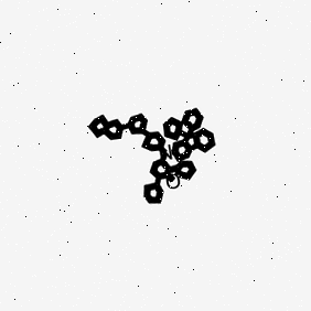 c1ccc(-c2ccc(N(c3ccc(-c4cccc(-c5ccc6ccccc6c5)c4)cc3)c3ccc4c(c3)C(c3ccccc3)(c3ccccc3)c3ccccc3-4)c3c2oc2ccccc23)cc1